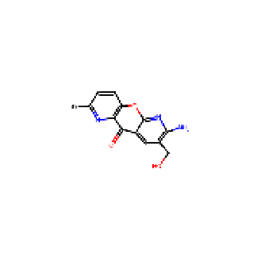 CC(C)c1ccc2oc3nc(N)c(CO)cc3c(=O)c2n1